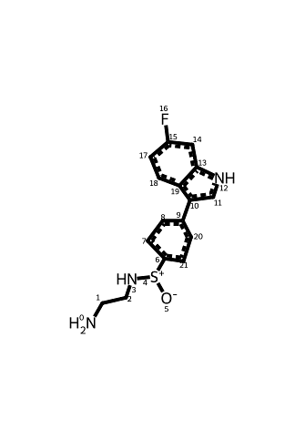 NCCN[S+]([O-])c1ccc(-c2c[nH]c3cc(F)ccc23)cc1